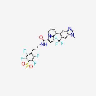 Cn1cnc2cc(-c3cccn4c(C(=O)NCCCc5c(F)c(F)c(S(C)(=O)=O)c(F)c5F)ccc34)c(C(F)(F)F)cc21